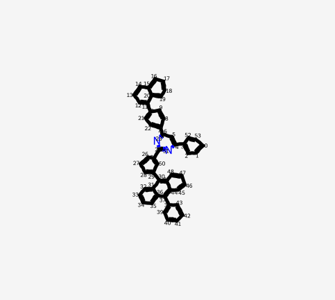 c1ccc(-c2cc(-c3ccc(-c4cccc5ccccc45)cc3)nc(-c3cccc(-c4c5ccccc5c(-c5ccccc5)c5ccccc45)c3)n2)cc1